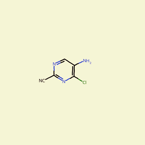 N#Cc1ncc(N)c(Cl)n1